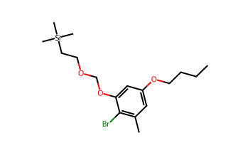 CCCCOc1cc(C)c(Br)c(OCOCC[Si](C)(C)C)c1